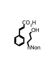 CCCCCCCCCCCCO.O=C(O)C=Cc1ccccc1